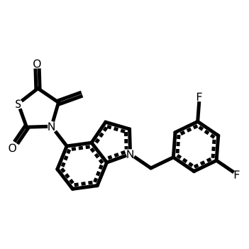 C=C1C(=O)SC(=O)N1c1cccc2c1ccn2Cc1cc(F)cc(F)c1